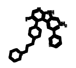 C=C(/C=c1\c(=C/N)[nH]c2ncc(F)c(N3CCN(CCCN4CCCCC4)CC3)c12)c1cccnc1